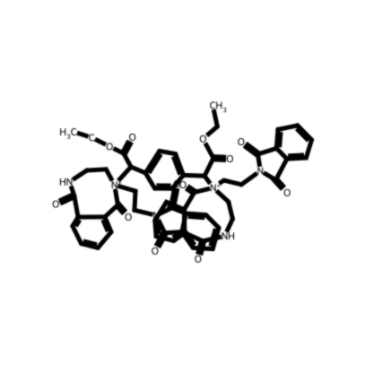 CCOC(=O)C(c1ccc(C(C(=O)OCC)[N+]2(CCN3C(=O)c4ccccc4C3=O)CCNC(=O)c3ccccc3C2=O)cc1)[N+]1(CCN2C(=O)c3ccccc3C2=O)CCNC(=O)c2ccccc2C1=O